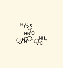 Cc1nc(C(=O)Nc2cc(-c3cnc(Cl)c(N)c3)cc3nn(C4CCCCO4)cc23)cs1